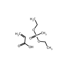 C=CC(=O)O.CCOP(C)(=O)OCC